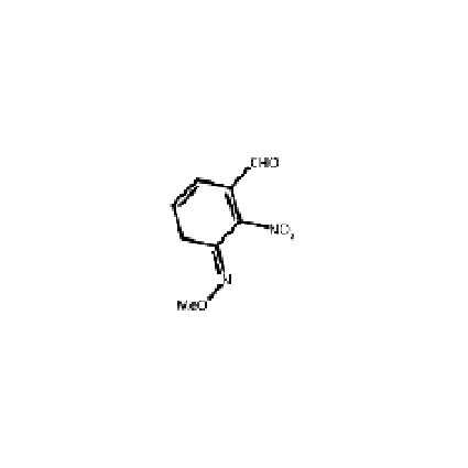 CO/N=C1\CC=CC(C=O)=C1[N+](=O)[O-]